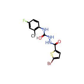 O=C(NNC(=O)c1ccc(Br)s1)Nc1ccc(F)cc1C(F)(F)F